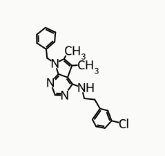 Cc1c(C)n(Cc2ccccc2)c2ncnc(NCCc3cccc(Cl)c3)c12